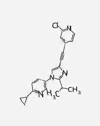 CC(C)c1nc(C#Cc2ccnc(Cl)c2)cn1-c1ccc(C2CC2)nc1